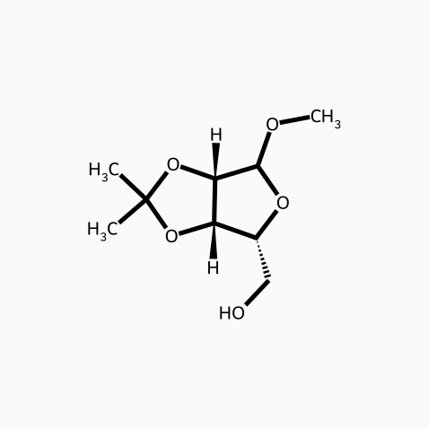 COC1O[C@H](CO)[C@@H]2OC(C)(C)O[C@H]12